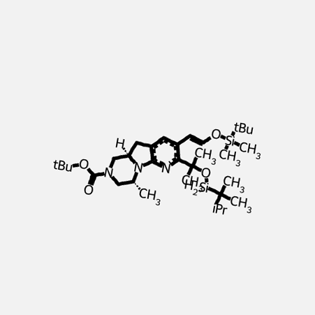 CC(C)C(C)(C)[SiH2]OC(C)(C)c1nc2c(cc1/C=C/O[Si](C)(C)C(C)(C)C)C[C@@H]1CN(C(=O)OC(C)(C)C)C[C@@H](C)N21